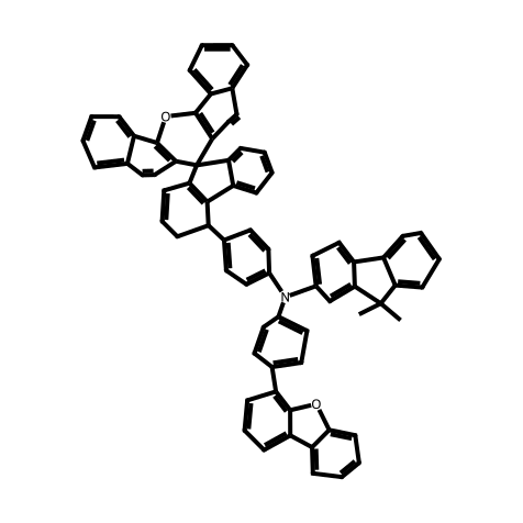 CC1(C)c2ccccc2-c2ccc(N(c3ccc(-c4cccc5c4oc4ccccc45)cc3)c3ccc(C4CC=CC5=C4c4ccccc4C54c5ccc6ccccc6c5Oc5c4ccc4ccccc54)cc3)cc21